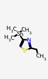 CCc1n[c]([Sn]([CH3])([CH3])[CH3])cs1